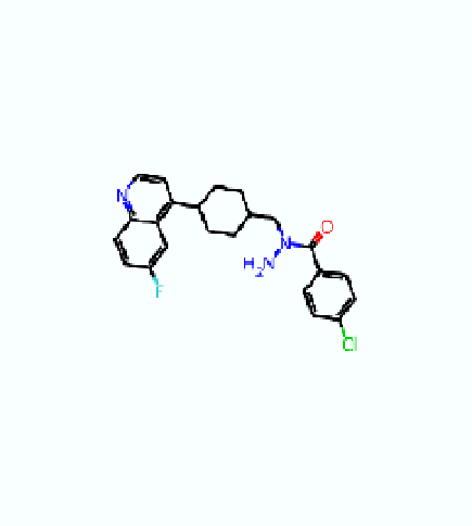 NN(CC1CCC(c2ccnc3ccc(F)cc23)CC1)C(=O)c1ccc(Cl)cc1